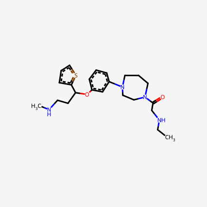 CCNCC(=O)N1CCCN(c2cccc(OC(CCNC)c3cccs3)c2)CC1